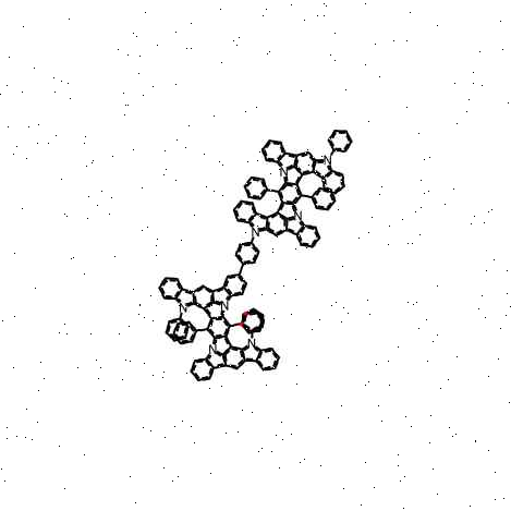 c1ccc(-c2c3c4c5c6ccccc6n(-c6ccc(-c7ccc8c(c7)c7cc9c%10ccccc%10n(-c%10ccccc%10)c9c9c%10c(-c%11ccccc%11)c%11c(c(-c%12ccccc%12)c%10n8c79)c7c8c(cc9c%10ccccc%10n%11c97)c7ccccc7n8-c7ccccc7)cc6)c5cc5c6ccccc6n(c3c(-c3ccccc3)c3c6c7c8ccccc8n(-c8ccccc8)c7cc7c8ccccc8n(c23)c76)c54)cc1